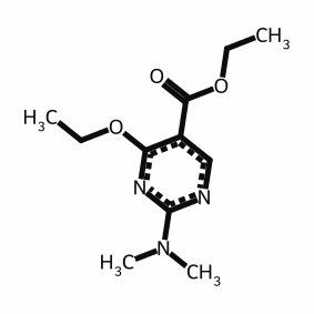 CCOC(=O)c1cnc(N(C)C)nc1OCC